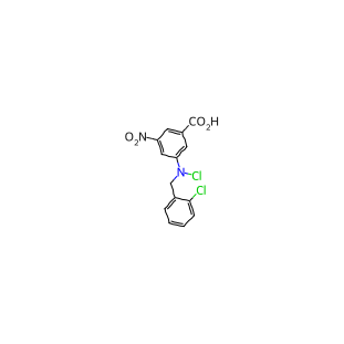 O=C(O)c1cc(N(Cl)Cc2ccccc2Cl)cc([N+](=O)[O-])c1